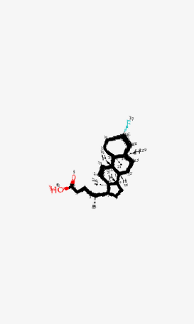 C[C@H](CCC(=O)O)C1CC[C@H]2[C@@H]3CC[C@@H]4C[C@@H](F)CC[C@]4(C)[C@H]3CC[C@]12C